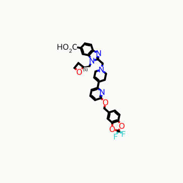 O=C(O)c1ccc2nc(CN3CC=C(c4cccc(OCc5ccc6c(c5)OC(F)(F)O6)n4)CC3)n(C[C@@H]3CCO3)c2c1